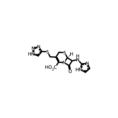 O=C(O)C1=C(CSc2c[nH]nn2)CS[C@H]2C(Nc3ncc[nH]3)C(=O)N12